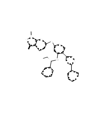 Cn1[nH]c(=O)c2ccc(Nc3cc(N[C@H](CO)c4ccccc4)c(-c4nnc(-c5cccnc5)o4)cn3)nc21